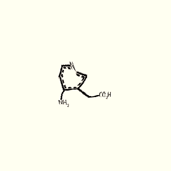 Nc1ccncc1CC(=O)O